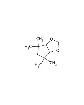 CC1(C)CC(C)(C)C2OCOC21